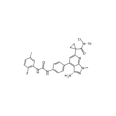 CCN(CC)C(=O)C1(c2cc(-c3ccc(NC(=O)Nc4cc(C)ccc4F)cc3)c3c(N)nn(C)c3n2)CC1